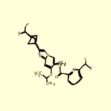 CC(C)Oc1cc2nc(C34CC(C(F)F)(C3)C4)cn2cc1NC(=O)c1cccc(C(F)F)n1